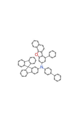 c1ccc(-c2ccc(N(c3ccc4c(c3)C3(c5ccccc5-c5ccccc53)c3ccccc3-4)c3cc(-c4ccccc4)c4c(c3)oc3c5ccccc5ccc34)cc2)cc1